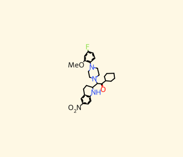 COc1cc(F)ccc1N1CCN(C(C(=O)C2CCCCC2)C2CCc3cc([N+](=O)[O-])ccc3N2)CC1